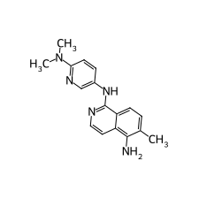 Cc1ccc2c(Nc3ccc(N(C)C)nc3)nccc2c1N